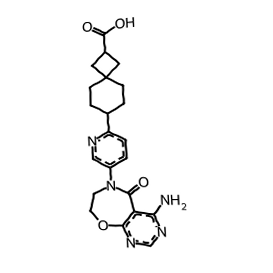 Nc1ncnc2c1C(=O)N(c1ccc(C3CCC4(CC3)CC(C(=O)O)C4)nc1)CCO2